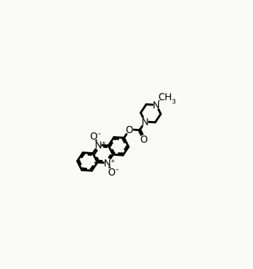 CN1CCN(C(=O)Oc2ccc3c(c2)[n+]([O-])c2ccccc2[n+]3[O-])CC1